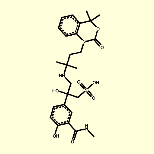 CNC(=O)c1cc(C(O)(CNC(C)(C)CCN2C(=O)OC(C)(C)c3ccccc32)CS(=O)(=O)O)ccc1O